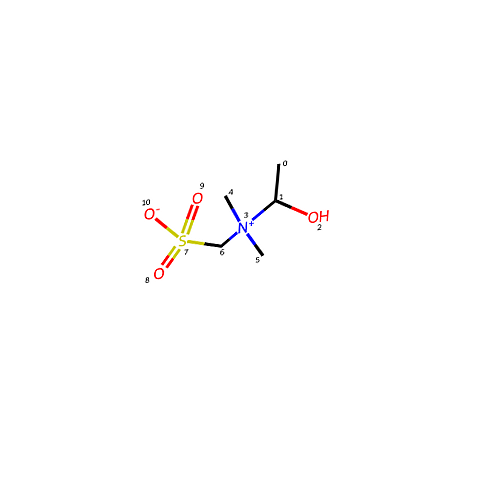 CC(O)[N+](C)(C)CS(=O)(=O)[O-]